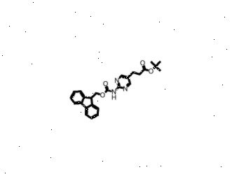 CC(C)(C)OC(=O)CCc1cnc(NC(=O)OCC2c3ccccc3-c3ccccc32)nc1